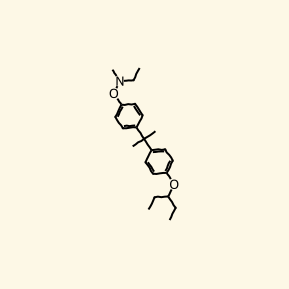 CCC(CC)Oc1ccc(C(C)(C)c2ccc(ON(C)CC)cc2)cc1